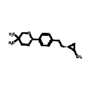 CC1C[C@H]1CCc1ccc(B2OCC(C)(C)CO2)cc1